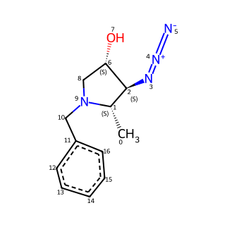 C[C@H]1[C@H](N=[N+]=[N-])[C@@H](O)CN1Cc1ccccc1